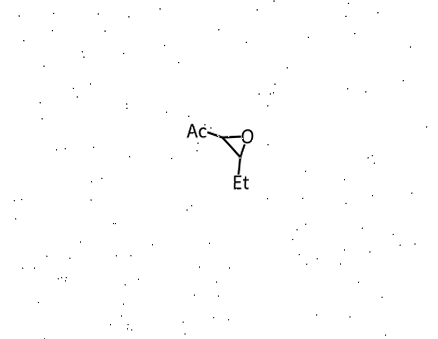 CCC1OC1C(C)=O